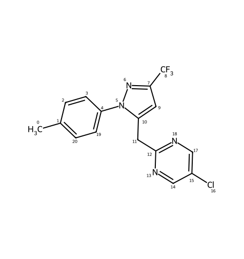 Cc1ccc(-n2nc(C(F)(F)F)cc2Cc2ncc(Cl)cn2)cc1